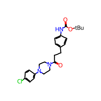 CC(C)(C)OC(=O)Nc1ccc(CCC(=O)N2CCN(c3ccc(Cl)cc3)CC2)cc1